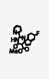 COC(=O)C1C(=O)NC(c2ccccn2)=NC12C=CC1=CC(F)CC=C12